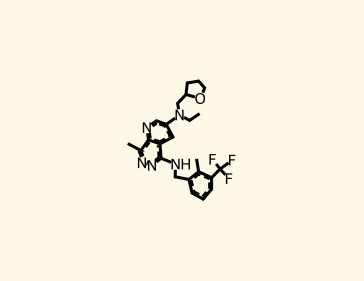 CCN(CC1CCCO1)c1cnc2c(C)nnc(NCc3cccc(C(F)(F)F)c3C)c2c1